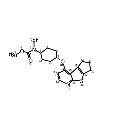 CCN(C(=O)OC(C)(C)C)[C@H]1CC[C@H](Oc2ncnc3sc4c(c23)CCC4)CC1